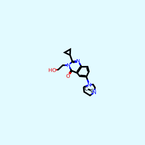 O=c1c2cc(N3CCN4CCC3CC4)ccc2nc(C2CC2)n1CCO